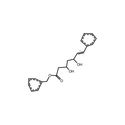 O=C(CC(O)CC(O)/C=C/c1ccccc1)OCc1ccccc1